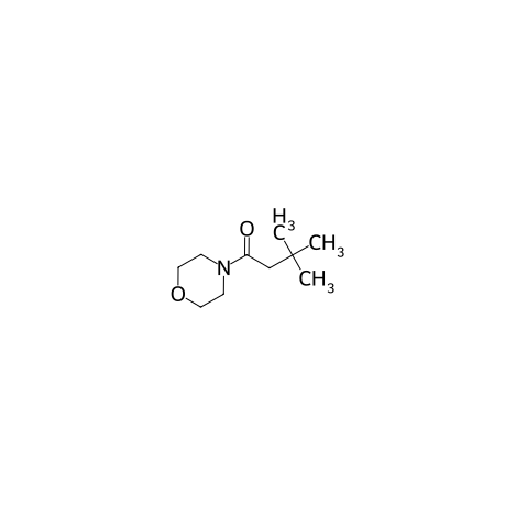 CC(C)(C)CC(=O)N1CCOCC1